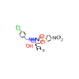 C[C@H](CN[C@H](CO)c1ccc(Cl)cc1)NS(=O)(=O)c1ccc([N+](=O)[O-])cc1